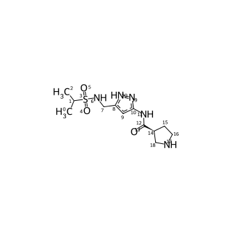 CC(C)S(=O)(=O)NCc1cc(NC(=O)[C@H]2CCNC2)n[nH]1